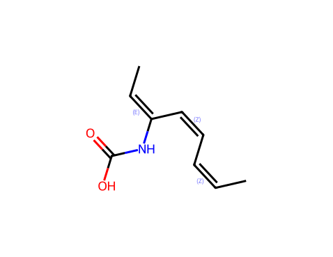 C\C=C/C=C\C(=C/C)NC(=O)O